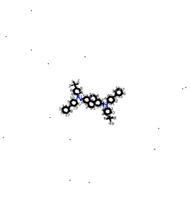 CC(C)(C)c1ccc(N(c2ccc(-c3ccccc3)cc2)c2cc3ccc4cc(N(c5ccc(-c6ccccc6)cc5)c5ccc(C(C)(C)C)cc5)cc5ccc(c2)c3c45)cc1